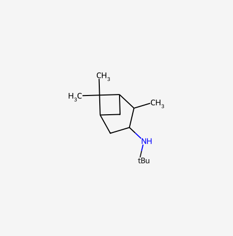 CC1C(NC(C)(C)C)CC2CC1C2(C)C